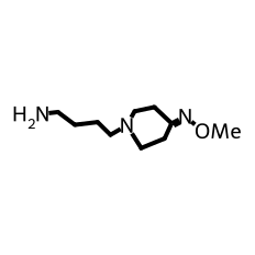 CON=C1CCN(CCCCN)CC1